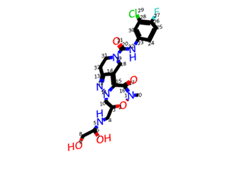 CN1OC(CNC(O)CO)Cn2nc3c(c2C1=O)CN(C(=O)Nc1ccc(F)c(Cl)c1)CC3